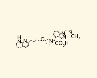 CC1CC1Cn1ncc2c(C(C(=O)O)N3CC[C@@H](OCCCCc4ccc5c(n4)NCCC5)C3)cccc21